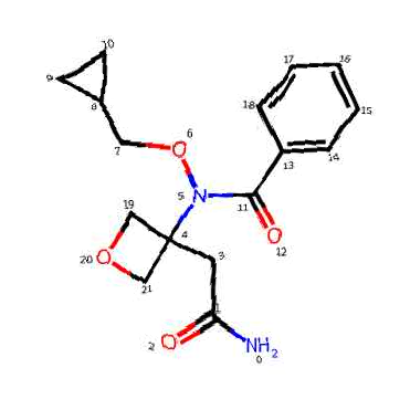 NC(=O)CC1(N(OCC2CC2)C(=O)c2ccccc2)COC1